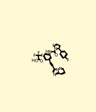 O=C(Nc1cccc(C#Cc2cnc3cccnn23)c1)N1N=CCC1c1ccc(F)cc1.O=C(O)C(F)(F)F